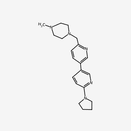 CN1CCN(Cc2ccc(-c3ccc(N4CCCC4)nc3)cn2)CC1